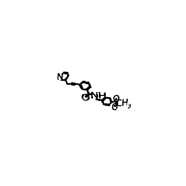 CS(=O)(=O)c1ccc(CNC(=O)c2cccc(C#CCc3cccnc3)c2)cc1